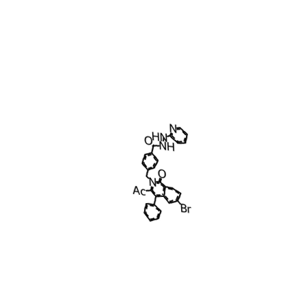 CC(=O)c1c(-c2ccccc2)c2cc(Br)ccc2c(=O)n1Cc1ccc(C(=O)NNc2ccccn2)cc1